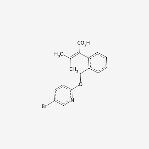 CC(C)=C(C(=O)O)c1ccccc1COc1ccc(Br)cn1